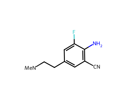 CNCCc1cc(F)c(N)c(C#N)c1